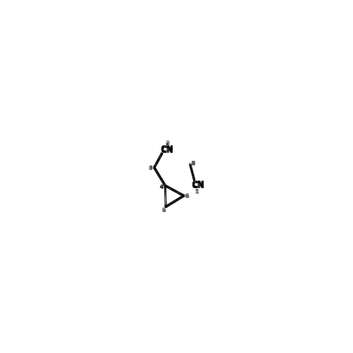 CC#N.N#CCC1CC1